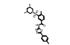 Cc1ccc(-c2nnc(NC(=O)c3ccc(C)c(S(=O)(=O)N4C[C@H](C)C[C@H](C)C4)c3)o2)cc1